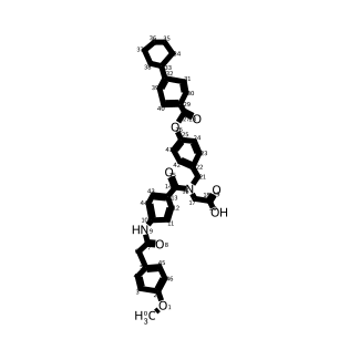 COc1ccc(CC(=O)Nc2ccc(C(=O)N(CC(=O)O)Cc3ccc(OC(=O)c4ccc(C5CCCCC5)cc4)cc3)cc2)cc1